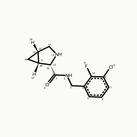 O=C(NCc1cccc(Cl)c1F)[C@H]1NC[C@H]2C[C@H]21